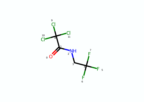 O=C(NCC(F)(F)F)C(Cl)(Cl)Cl